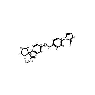 Cc1nccn1-c1ccc(COc2ccc(C3(C(N)=O)CCCC3)cc2)cc1